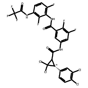 O=C(Nc1c(F)ccc(NC(=O)C(F)(F)F)c1F)c1cc(NC(=O)C2[C@H](c3ccc(Cl)c(Cl)c3)C2(Cl)Cl)cc(F)c1F